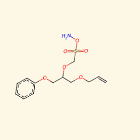 C=CCOCC(COc1ccccc1)OCS(=O)(=O)ON